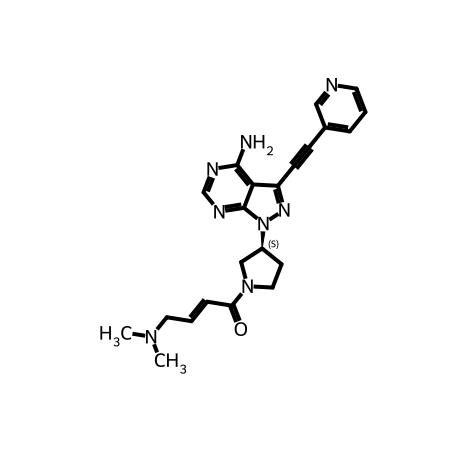 CN(C)CC=CC(=O)N1CC[C@H](n2nc(C#Cc3cccnc3)c3c(N)ncnc32)C1